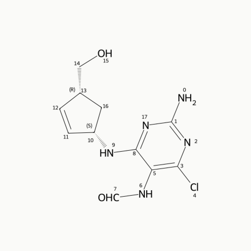 Nc1nc(Cl)c(NC=O)c(N[C@@H]2C=C[C@H](CO)C2)n1